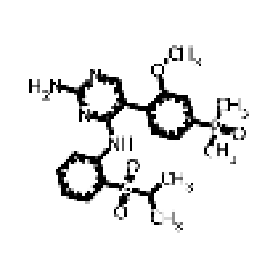 COc1cc(P(C)(C)=O)ccc1-c1cnc(N)nc1Nc1ccccc1S(=O)(=O)C(C)C